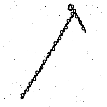 CCOCCOCCOCCOCCOCCOCCOCCCOCCOCCOCCOCCOCCOCCOCCCOC(COCCOCCOCC)OC1CCCCO1